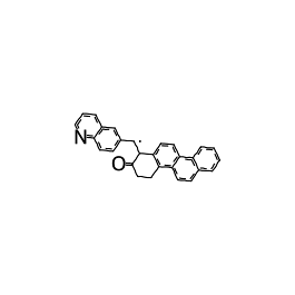 O=C1CCc2c(ccc3c2ccc2ccccc23)C1[CH]c1ccc2ncccc2c1